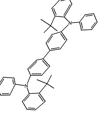 CC(C)(C)c1ccccc1N(c1ccccc1)c1ccc(-c2ccc(N(c3ccccc3)c3ccccc3C(C)(C)C)cc2)cc1